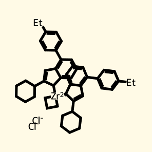 CCc1ccc(-c2cccc3c2C=C(C2CCCCC2)[CH]3[Zr+2]2([CH]3C(C4CCCCC4)=Cc4c(-c5ccc(CC)cc5)cccc43)[CH2]C[CH2]2)cc1.[Cl-].[Cl-]